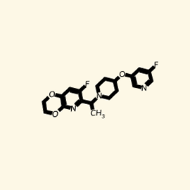 CC(c1nc2c(cc1F)OCCO2)N1CCC(Oc2cncc(F)c2)CC1